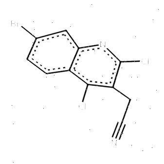 N#CCc1c(Cl)nc2cc(Br)ccc2c1Cl